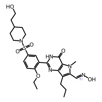 CCCc1c(/C=N/O)n(C)c2c(=O)[nH]c(-c3cc(S(=O)(=O)N4CCC(CCO)CC4)ccc3OCC)nc12